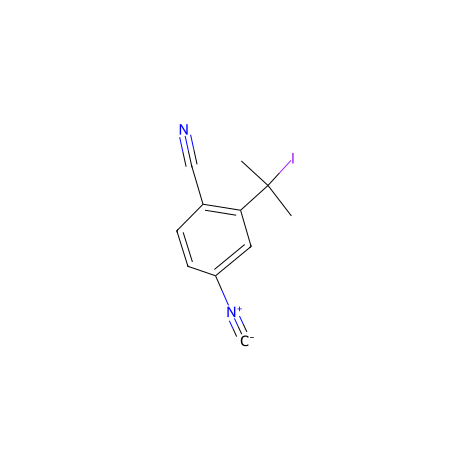 [C-]#[N+]c1ccc(C#N)c(C(C)(C)I)c1